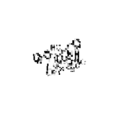 COC(=O)NC(C(=O)NC(Cc1ccc(-c2ccccn2)cc1)CC(O)C(Cc1ccccc1)NC(=O)C(NC(=O)OC)C(C)(C)[S+](C)[O-])C(C)(C)C